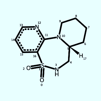 O=S1(=O)NC[C@H]2CCCCN2c2ncccc21